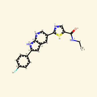 O=C(NCC(F)(F)F)c1cnc(-c2cnc3[nH]c(-c4ccc(F)cc4)cc3c2)s1